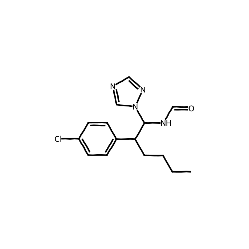 CCCCC(c1ccc(Cl)cc1)C(NC=O)n1cncn1